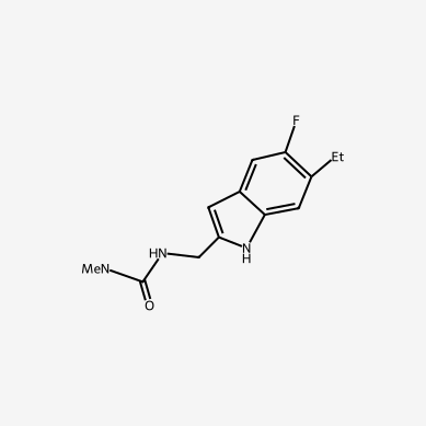 CCc1cc2[nH]c(CNC(=O)NC)cc2cc1F